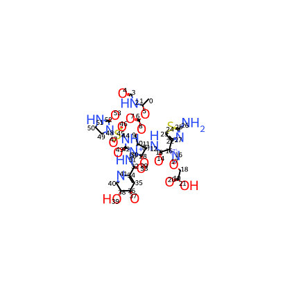 CC(NC=O)OC(=O)OCC1[C@H](NC(=O)/C(=N\OCC(=O)O)c2csc(N)n2)C(=O)[N@+]1(NC(=O)C1=CC(=O)C(O)C=N1)C(=O)NS(=O)(=O)N1CCNC1=O